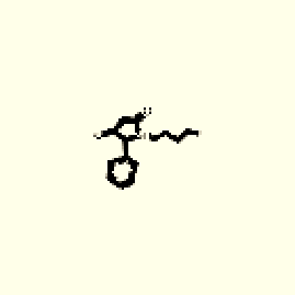 CCCCC[SH]1C(=O)CC(=O)C1c1ccccc1